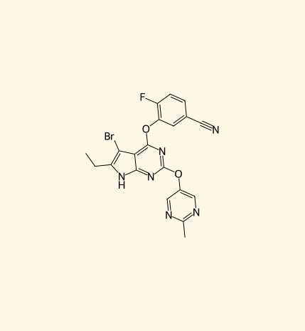 CCc1[nH]c2nc(Oc3cnc(C)nc3)nc(Oc3cc(C#N)ccc3F)c2c1Br